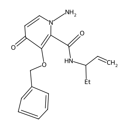 C=CC(CC)NC(=O)c1c(OCc2ccccc2)c(=O)ccn1N